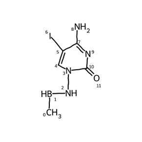 CBNn1cc(I)c(N)nc1=O